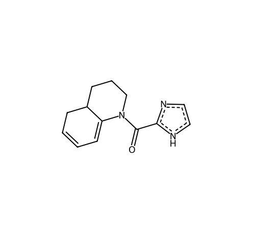 O=C(c1ncc[nH]1)N1CCCC2CC=CC=C21